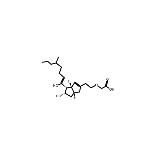 CCCC(C)CCC=C(O)[C@H]1[C@@H]2C=C(CCOCC(=O)O)C[C@@H]2C[C@@H]1O